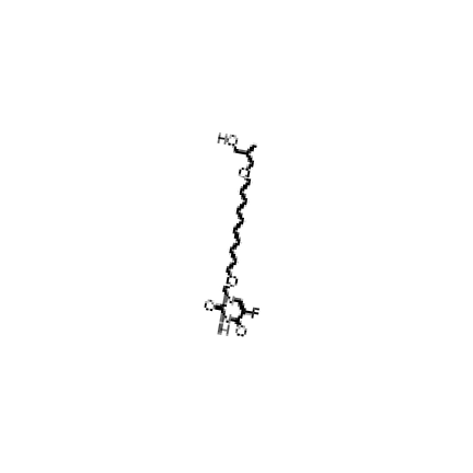 CC(CO)COCCCCCCCCCCOCn1cc(F)c(=O)[nH]c1=O